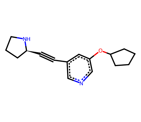 C(#C[C@H]1CCCN1)c1cncc(OC2CCCC2)c1